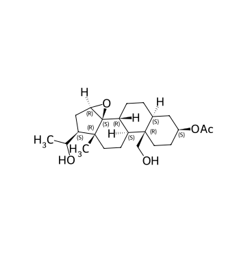 CC(=O)O[C@H]1CC[C@@]2(CO)[C@@H](CC[C@@H]3[C@@H]2CC[C@]2(C)[C@@H](C(C)O)C[C@H]4O[C@]342)C1